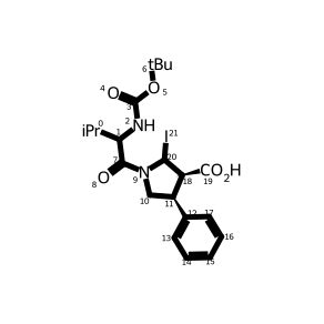 CC(C)C(NC(=O)OC(C)(C)C)C(=O)N1C[C@H](c2ccccc2)[C@H](C(=O)O)C1I